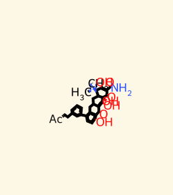 CC(=O)CCc1cccc(-c2ccc(O)c3c2CC2CC4C(N(C)C)C(O)=C(C(N)=O)C(=O)C4(O)C(O)=C2C3=O)c1